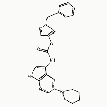 O=C(Nc1c[nH]c2ncc(N3CCCCC3)cc12)Oc1cnn(Cc2ccccc2)c1